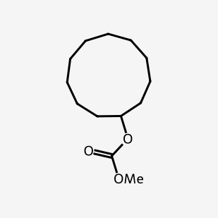 COC(=O)OC1CCCCCCCCCC1